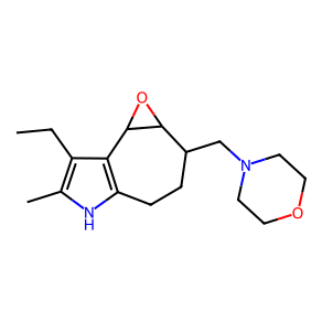 CCc1c(C)[nH]c2c1C1OC1C(CN1CCOCC1)CC2